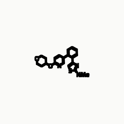 CNc1nc(-c2ccccc2-c2ccc(OC3CCOCC3)nc2)cs1